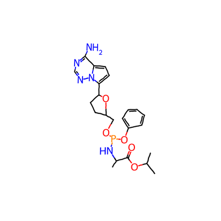 CC(C)OC(=O)C(C)NP(OCC1CCC(c2ccc3c(N)ncnn23)O1)Oc1ccccc1